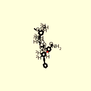 [2H]c1c([2H])c([C@@H]2S[C@H](CC(=O)NC([2H])([2H])C([2H])([2H])c3ccc(OC([2H])([2H])[2H])c(OCC)c3)C(=O)N2c2cccc(C(N)=O)c2)c([2H])c([2H])c1C#Cc1ccccc1